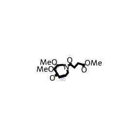 COC(=O)CCC(=O)N1C/C=C\C(=O)[C@H](OC)[C@@H](OC)C1